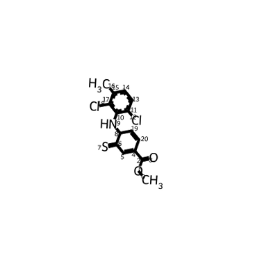 COC(=O)C1=CC(=S)C(Nc2c(Cl)ccc(C)c2Cl)C=C1